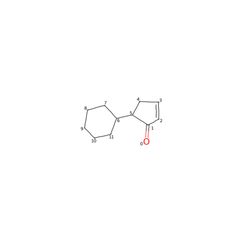 O=C1C=CCC1C1CCCCC1